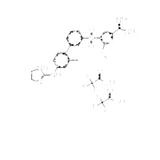 CSc1sc(C(=N)N)cc1S(=O)(=O)c1cccc(-c2ccc(NC3=NCCN3)cc2C)c1.O=C(O)C(F)(F)F.O=C(O)C(F)(F)F